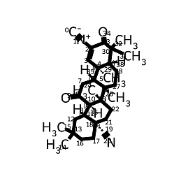 [C-]#[N+]C1=C[C@]2(C)[C@H]3CC(=O)[C@@H]4[C@@H]5CC(C)(C)CC[C@]5(C#N)CC[C@@]4(C)[C@]3(C)CC[C@H]2C(C)(C)C1=O